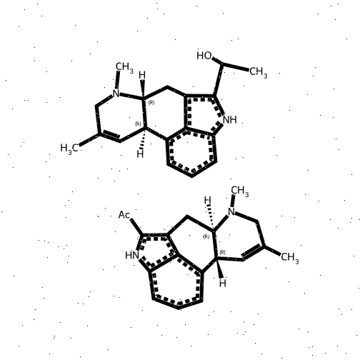 CC(=O)c1[nH]c2cccc3c2c1C[C@@H]1[C@@H]3C=C(C)CN1C.CC1=C[C@@H]2c3cccc4[nH]c(C(C)O)c(c34)C[C@H]2N(C)C1